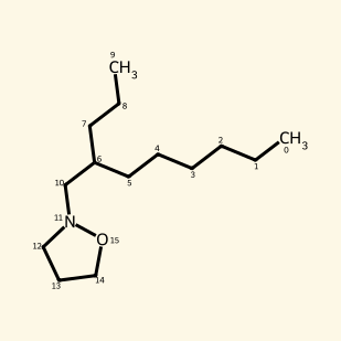 CCCCCCC(CCC)CN1CCCO1